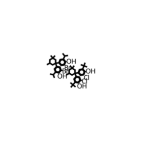 CC1CC(C)(C)CC(c2cc(Br)c(O)c(C(C)C)c2)(c2cc(Br)c(O)c(C(C)C)c2)C1.CC1CC(C)(C)CC(c2cc(Cl)c(O)c(C(C)(C)C)c2)(c2cc(Cl)c(O)c(C(C)(C)C)c2)C1